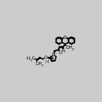 CC(C)=CCO[C@H]1C[N+]2(Cc3cc(C4(C)c5ccccc5Oc5ccccc54)no3)CCC1CC2